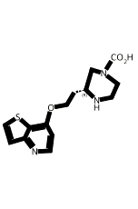 O=C(O)N1CCN[C@H](CCOc2ccnc3ccsc23)C1